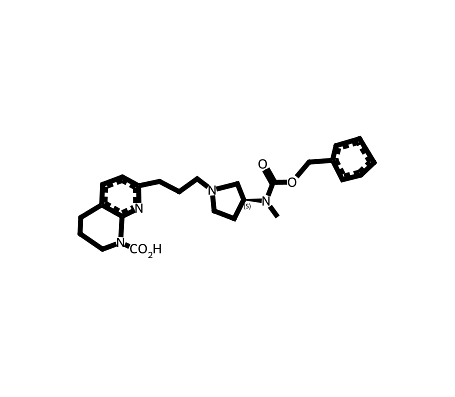 CN(C(=O)OCc1ccccc1)[C@H]1CCN(CCCc2ccc3c(n2)N(C(=O)O)CCC3)C1